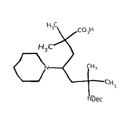 CCCCCCCCCCC(C)(C)CC(CC(C)(C)C(=O)O)N1CCCCC1